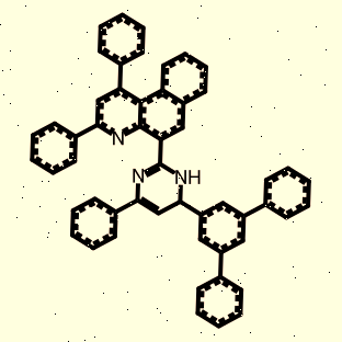 C1=C(c2ccccc2)N=C(c2cc3ccccc3c3c(-c4ccccc4)cc(-c4ccccc4)nc23)NC1c1cc(-c2ccccc2)cc(-c2ccccc2)c1